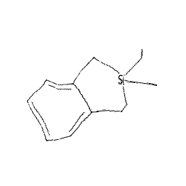 C[Si]1(C)Cc2ccccc2C1